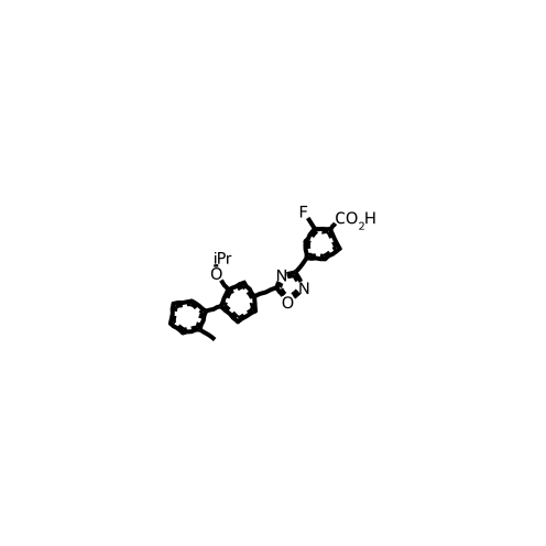 Cc1ccccc1-c1ccc(-c2nc(-c3ccc(C(=O)O)c(F)c3)no2)cc1OC(C)C